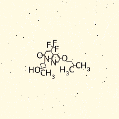 CC(C)CCOc1cnc2c(c1)c(C(F)(F)F)cc(=O)n2[C@H]1C[C@](C)(O)C1